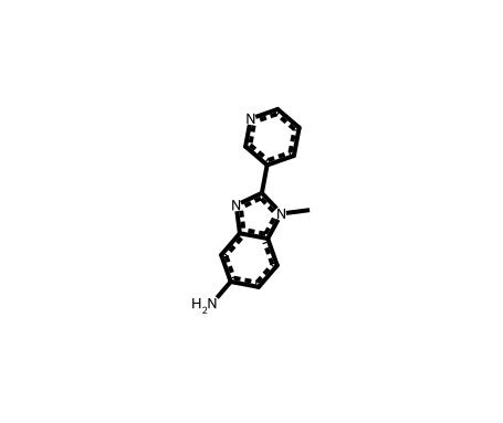 Cn1c(-c2cccnc2)nc2cc(N)ccc21